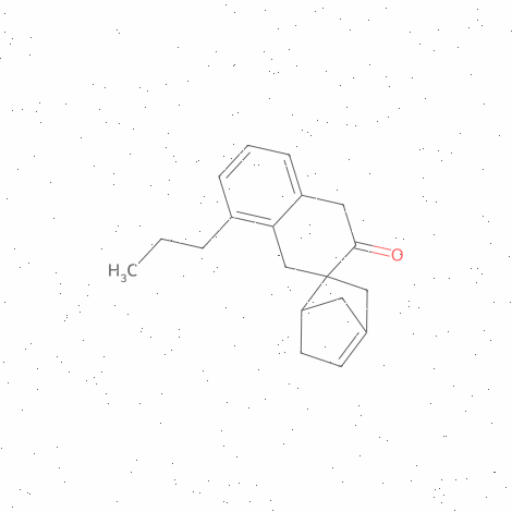 CCCc1cccc2c1CC1(CC3=CCC1C3)C(=O)C2